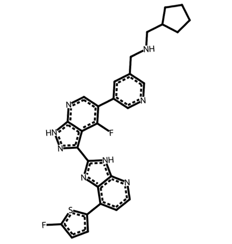 Fc1ccc(-c2ccnc3[nH]c(-c4n[nH]c5ncc(-c6cncc(CNCC7CCCC7)c6)c(F)c45)nc23)s1